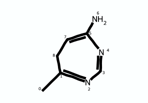 CC1=NC=NC(N)=CC1